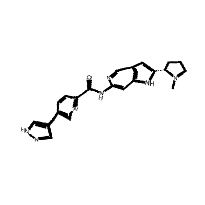 CN1CCC[C@H]1c1cc2cnc(NC(=O)c3ccc(-c4cn[nH]c4)cn3)cc2[nH]1